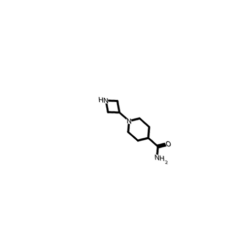 NC(=O)C1CCN(C2CNC2)CC1